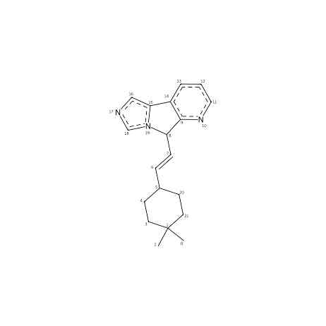 CC1(C)CCC(/C=C/C2c3ncccc3-c3cncn32)CC1